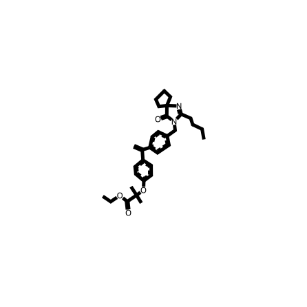 C=C(c1ccc(CN2C(=O)C3(CCCC3)N=C2CCCC)cc1)c1ccc(OC(C)(C)C(=O)OCC)cc1